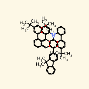 CC(C)(C)c1ccc(-c2ccccc2N(c2ccc(-c3ccc4c(c3)C(C)(C)c3ccccc3-4)cc2)c2ccccc2C2=c3c(-c4cc(C(C)(C)C)cc(C(C)(C)C)c4)cccc3=CCC2)cc1